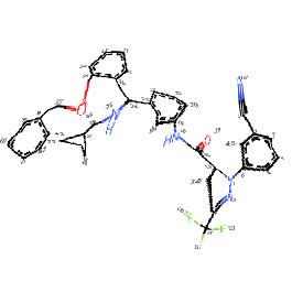 N#Cc1cccc(N2N=C(C(F)(F)F)CC2C(=O)Nc2cccc(C(NCC3CC3)c3ccccc3OCc3ccccc3)c2)c1